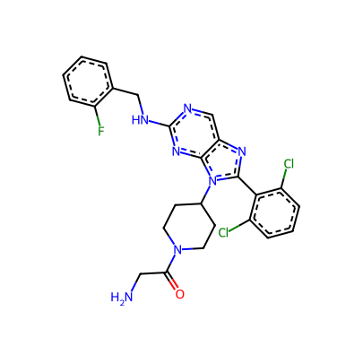 NCC(=O)N1CCC(n2c(-c3c(Cl)cccc3Cl)nc3cnc(NCc4ccccc4F)nc32)CC1